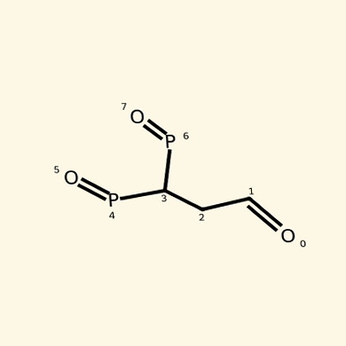 O=CCC(P=O)P=O